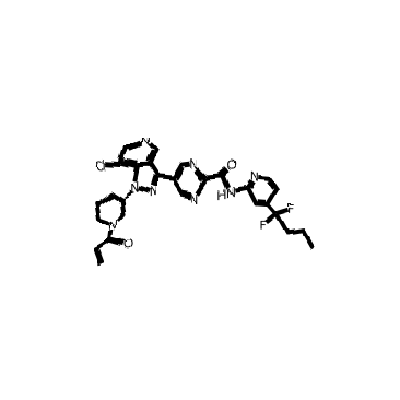 C=CC(=O)N1CCC[C@@H](n2nc(-c3cnc(C(=O)Nc4cc(C(F)(F)CCC)ccn4)nc3)c3cncc(Cl)c32)C1